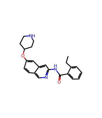 CCc1ccccc1C(=O)Nc1cc2cc(OC3CCNCC3)ccc2cn1